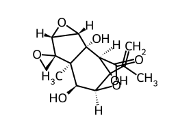 C=C(C)C1(O)[C@H]2OC(=O)[C@@H]1[C@]1(O)[C@H]3O[C@H]3[C@]3(CO3)[C@]1(C)[C@@H]2O